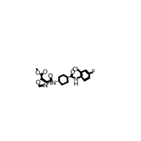 COC(=O)c1ocnc1C(=O)N[C@H]1CC[C@H](C(=O)Nc2ccc(F)cc2Cl)CC1